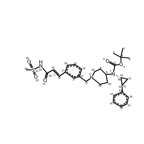 CC(C)(C)OC(=O)N(C1CCN(Cc2cccc(/C=C/C(=O)NS(C)(=O)=O)c2)CC1)[C@@H]1C[C@H]1c1ccccc1